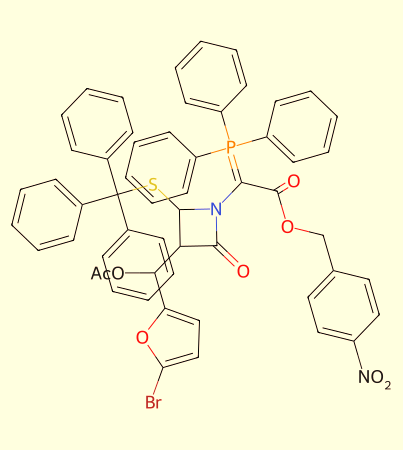 CC(=O)OC(c1ccc(Br)o1)C1C(=O)N(C(C(=O)OCc2ccc([N+](=O)[O-])cc2)=P(c2ccccc2)(c2ccccc2)c2ccccc2)C1SC(c1ccccc1)(c1ccccc1)c1ccccc1